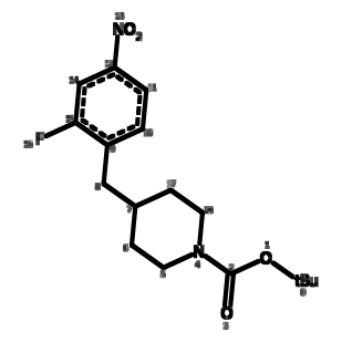 CC(C)(C)OC(=O)N1CCC(Cc2ccc([N+](=O)[O-])cc2F)CC1